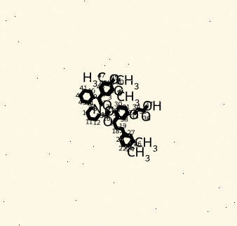 COc1cc([C@@H](C(=O)N2CCCC[C@H]2C(=O)OC(CCc2ccc(C)c(C)c2)c2cccc(OCC(=O)O)c2)C2CCCCC2)cc(C)c1OC